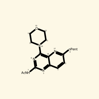 CCCCCc1ccc2nc(NC(C)=O)nc(N3CCOCC3)c2n1